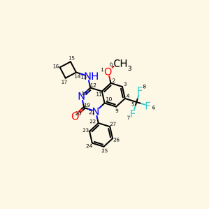 COc1cc(C(F)(F)F)cc2c1c(NC1CCC1)nc(=O)n2-c1ccccc1